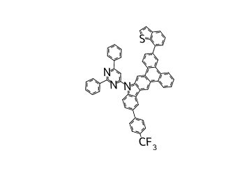 FC(F)(F)c1ccc(-c2ccc3c(c2)c2cc4c5ccccc5c5cc(-c6cccc7ccsc67)ccc5c4cc2n3-c2cc(-c3ccccc3)nc(-c3ccccc3)n2)cc1